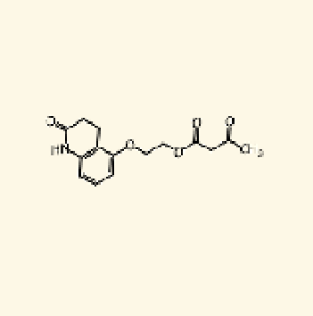 CC(=O)CC(=O)OCCOc1cccc2c1CCC(=O)N2